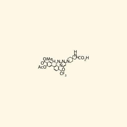 COC(=O)c1ccc(-c2ccc(C(Oc3cc(N4CCC5(CC4)CN[C@H](C(=O)O)C5)nc(N)n3)C(F)(F)F)cc2)cc1OC(C)=O